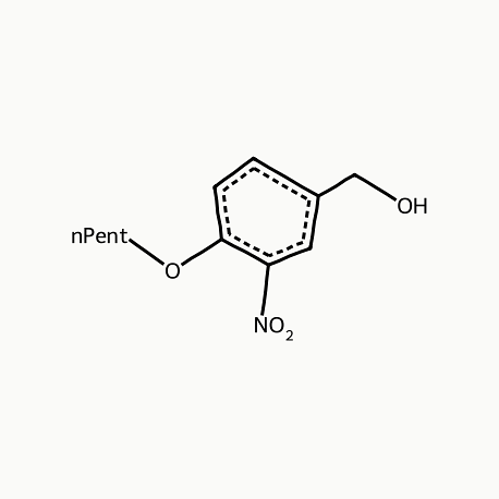 CCCCCOc1ccc(CO)cc1[N+](=O)[O-]